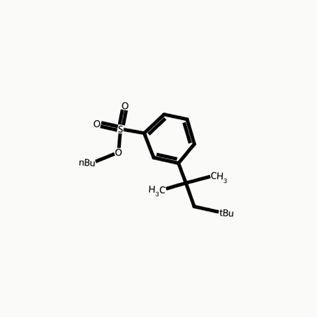 CCCCOS(=O)(=O)c1cccc(C(C)(C)CC(C)(C)C)c1